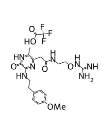 COc1ccc(CCNc2nc(CC(=O)NCCONC(=N)N)c(C)[nH]c2=O)cc1.O=C(O)C(F)(F)F